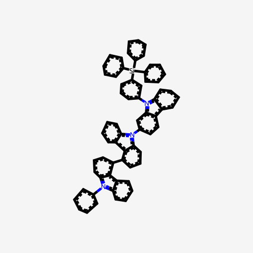 c1ccc(-n2c3ccccc3c3c(-c4cccc5c4c4ccccc4n5-c4ccc5c6ccccc6n(-c6cccc([Si](c7ccccc7)(c7ccccc7)c7ccccc7)c6)c5c4)cccc32)cc1